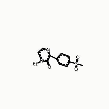 CCn1ccnc(-c2ccc(S(C)(=O)=O)cc2)c1=O